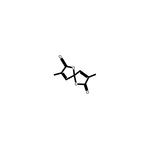 CC1=CC2(C=C(C)C(=O)O2)OC1=O